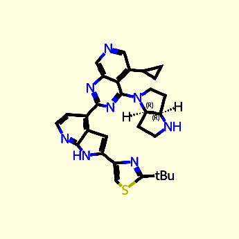 CC(C)(C)c1nc(-c2cc3c(-c4nc(N5CC[C@H]6NCC[C@H]65)c5c(C6CC6)cncc5n4)ccnc3[nH]2)cs1